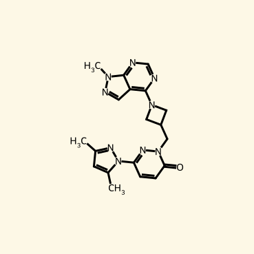 Cc1cc(C)n(-c2ccc(=O)n(CC3CN(c4ncnc5c4cnn5C)C3)n2)n1